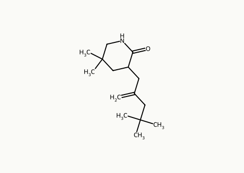 C=C(CC1CC(C)(C)CNC1=O)CC(C)(C)C